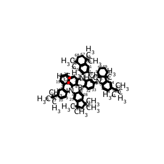 Cc1cc2c3c(c1)N(c1ccc(C(C)(C)C)cc1-c1ccccc1)c1cc4c(cc1B3c1ccc(N3c5ccc(C(C)(C)C)cc5C5(C)CCCCC35C)cc1N2c1cc2c(cc1C)C(C)(C)CCC2(C)C)C(C)(C)CC4(C)C